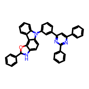 c1ccc(-c2cc(-c3cccc(-n4c5ccccc5c5c6c(ccc54)NC(c4ccccc4)O6)c3)nc(-c3ccccc3)n2)cc1